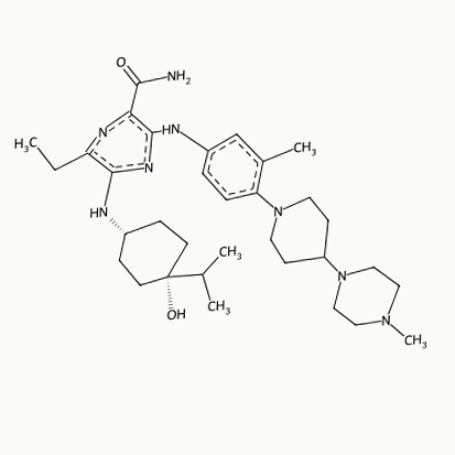 CCc1nc(C(N)=O)c(Nc2ccc(N3CCC(N4CCN(C)CC4)CC3)c(C)c2)nc1N[C@H]1CC[C@](O)(C(C)C)CC1